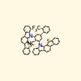 N#Cc1c(-n2c3ccccc3c3ccc4c5ccccc5sc4c32)cc(-c2ccccc2C(F)(F)F)cc1-n1c2ccccc2c2ccc3c4ccccc4sc3c21